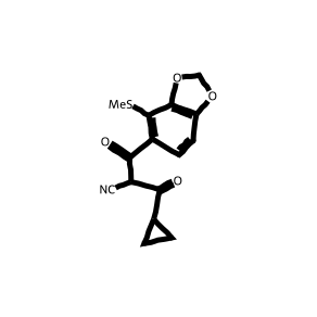 CSc1c(C(=O)C(C#N)C(=O)C2CC2)ccc2c1OCO2